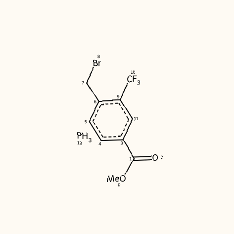 COC(=O)c1ccc(CBr)c(C(F)(F)F)c1.P